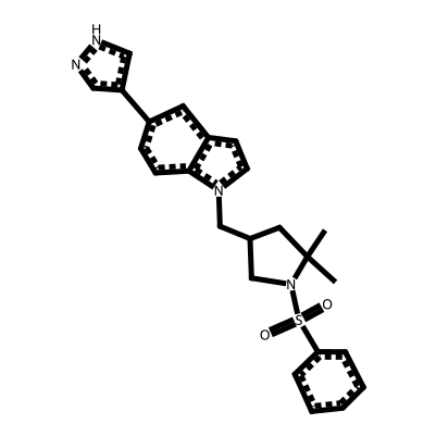 CC1(C)CC(Cn2ccc3cc(-c4cn[nH]c4)ccc32)CN1S(=O)(=O)c1ccccc1